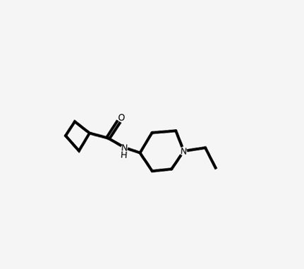 CCN1CCC(NC(=O)C2CCC2)CC1